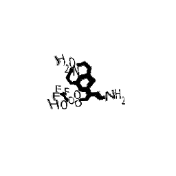 NCCc1cc(=O)oc2c3c4c(cc12)CCCN4CCC3.O.O=C(O)C(F)(F)F